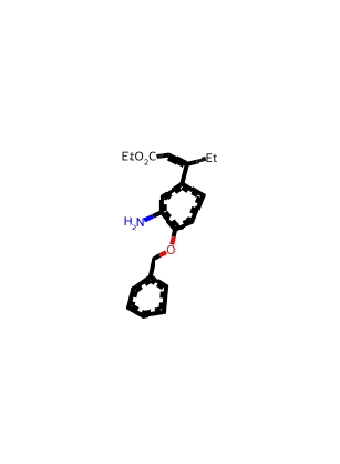 CCOC(=O)/C=C(/CC)c1ccc(OCc2ccccc2)c(N)c1